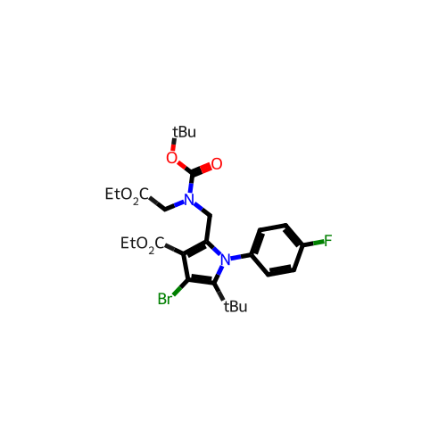 CCOC(=O)CN(Cc1c(C(=O)OCC)c(Br)c(C(C)(C)C)n1-c1ccc(F)cc1)C(=O)OC(C)(C)C